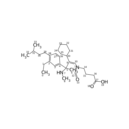 CCc1cc(C(C)(NC)/C(=C\N(C=O)CCCC(=O)O)C2CCCCC2)ccc1CCC(C)C